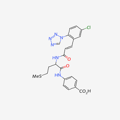 CSCCC(NC(=O)C=Cc1cc(Cl)ccc1-n1cnnn1)C(=O)Nc1ccc(C(=O)O)cc1